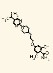 Cc1cc(OCCCC2CCN(c3ncc(C(C)C)cn3)CC2)cc(C)c1C(N)=O